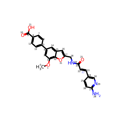 COc1cc(-c2ccc(C(=O)O)cc2)cc2cc(CNC(=O)/C=C/c3ccc(N)nc3)oc12